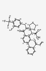 C=CC(=O)c1ccccc1-c1ccc2c(c1)[C@H](C(=O)O)C1(CCCC1)N(Cc1ccc(C(F)(F)F)c(F)c1)C2=O